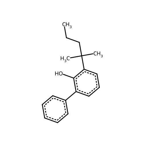 CCCC(C)(C)c1cccc(-c2ccccc2)c1O